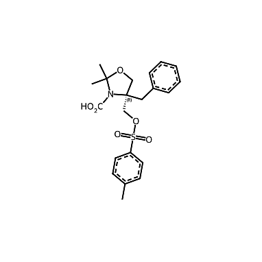 Cc1ccc(S(=O)(=O)OC[C@@]2(Cc3ccccc3)COC(C)(C)N2C(=O)O)cc1